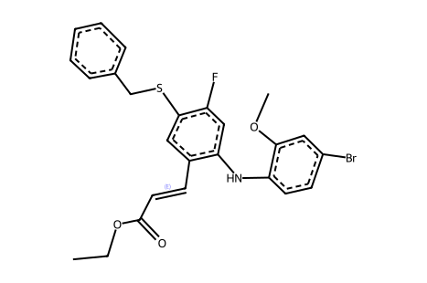 CCOC(=O)/C=C/c1cc(SCc2ccccc2)c(F)cc1Nc1ccc(Br)cc1OC